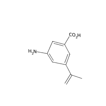 C=C(C)c1cc(N)cc(C(=O)O)c1